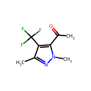 CC(=O)c1c(C(F)(F)F)c(C)nn1C